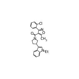 CCn1cc(C2CCN(C(=O)c3c(-c4ccccc4Cl)noc3C)C2)c2ccccc21